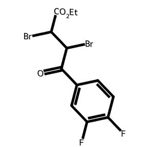 CCOC(=O)C(Br)C(Br)C(=O)c1ccc(F)c(F)c1